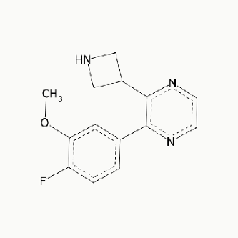 COc1cc(-c2nccnc2C2CNC2)ccc1F